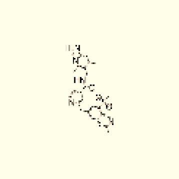 Cc1cc2cc(Cc3cc(C(=O)NCc4c(C)cc(N)nc4C)ccn3)cc(S(C)(=O)=O)c2cn1